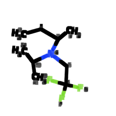 CCC(C)N(CC(F)(F)F)C(C)C